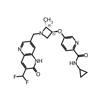 C[C@@H]1[C@@H](Oc2ccc(C(=O)NC3CC3)nc2)CN1Cc1cnc2cc(C(F)F)c(=O)[nH]c2c1